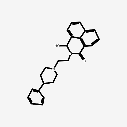 O=C1c2cccc3cccc(c23)C(O)N1CCN1CCC(c2ccccc2)CC1